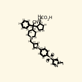 Cn1cc(S(=O)(=O)c2ccc(N3CC(CN4CCC(C(C#N)(c5ccccc5)C5CCCC5NC(=O)O)CC4)C3)cc2)cn1